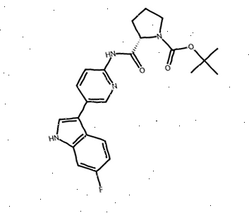 CC(C)(C)OC(=O)N1CCC[C@H]1C(=O)Nc1ccc(-c2c[nH]c3cc(F)ccc23)cn1